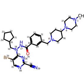 CN1CCN(C2CCN(Cc3cccc(C(=O)NN(CC4CCCC4)c4nc(C#N)ncc4Br)c3)CC2)CC1